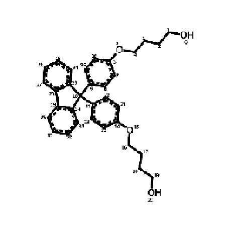 OCCCCOc1ccc(C2(c3ccc(OCCCCO)cc3)c3ccccc3-c3ccccc32)cc1